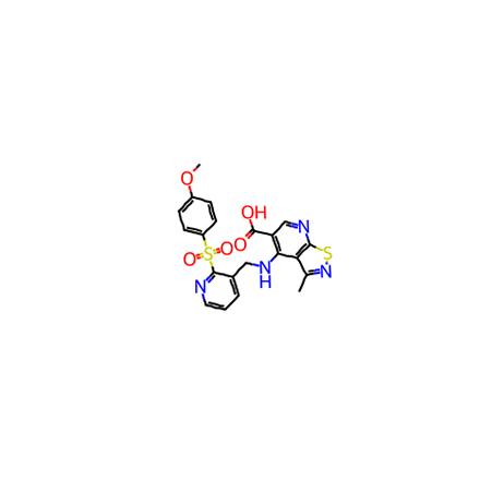 COc1ccc(S(=O)(=O)c2ncccc2CNc2c(C(=O)O)cnc3snc(C)c23)cc1